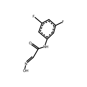 O=C(/C=N/O)Nc1cc(F)cc(F)c1